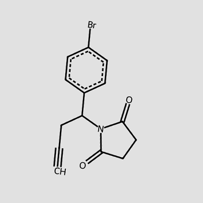 C#CCC(c1ccc(Br)cc1)N1C(=O)CCC1=O